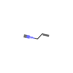 C#[N+]CC=C